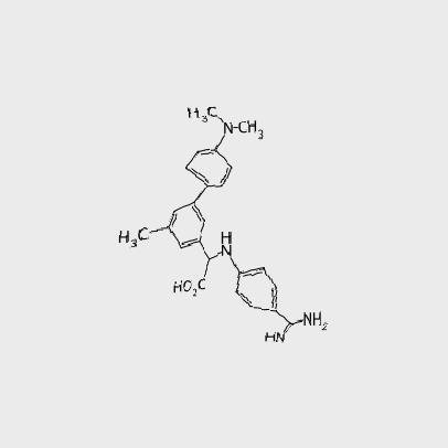 Cc1cc(-c2ccc(N(C)C)cc2)cc(C(Nc2ccc(C(=N)N)cc2)C(=O)O)c1